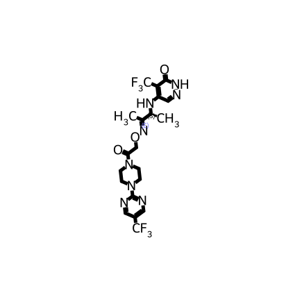 C/C(=N\OCC(=O)N1CCN(c2ncc(C(F)(F)F)cn2)CC1)[C@H](C)Nc1cn[nH]c(=O)c1C(F)(F)F